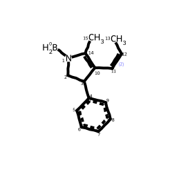 BN1CC(c2ccccc2)C(/C=C\C)=C1C